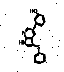 Oc1cccc(-c2cnc3[nH]cc(Sc4ccccc4)c3c2)c1